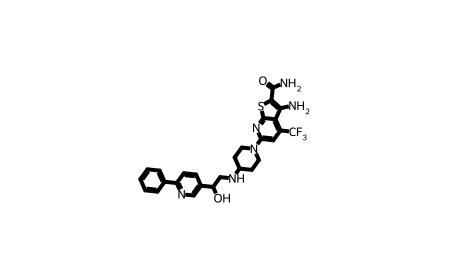 NC(=O)c1sc2nc(N3CCC(NCC(O)c4ccc(-c5ccccc5)nc4)CC3)cc(C(F)(F)F)c2c1N